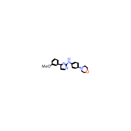 COc1cccc(-c2ccnc(Nc3ccc(N4CCOCC4)cc3)n2)c1